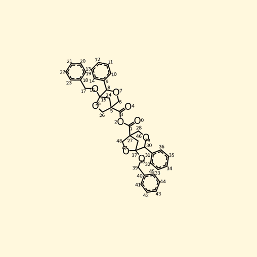 O=C(OC(=O)C12COC(c3ccccc3)C(OCc3ccccc3)(C1)OC2)C12COC(c3ccccc3)C(OCc3ccccc3)(C1)OC2